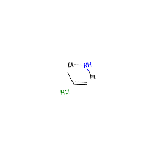 C=CC.CCNCC.Cl